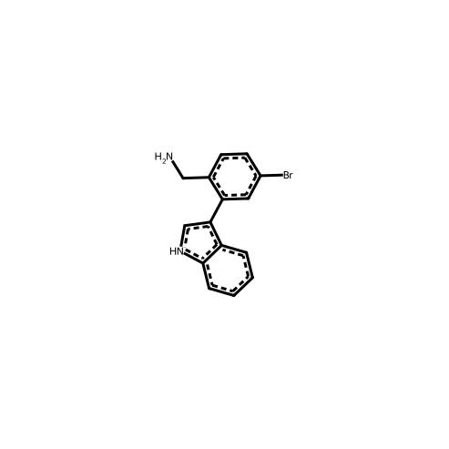 NCc1ccc(Br)cc1-c1c[nH]c2ccccc12